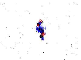 C=CC(=O)N1CC2CC(Nc3ncnc(N)c3C(=N)c3ccc(Oc4cccc(N(C)C)c4)cc3)C1C2